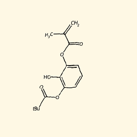 C=C(C)C(=O)Oc1cccc(OC(=O)C(C)(C)C)c1O